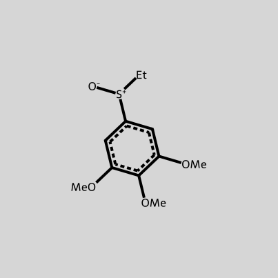 [CH2]C[S+]([O-])c1cc(OC)c(OC)c(OC)c1